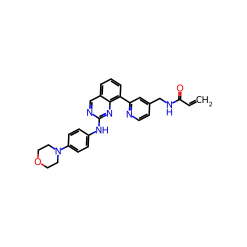 C=CC(=O)NCc1ccnc(-c2cccc3cnc(Nc4ccc(N5CCOCC5)cc4)nc23)c1